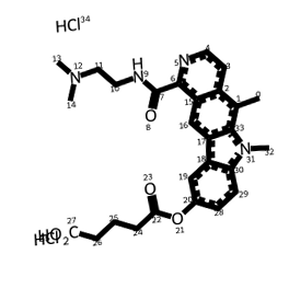 Cc1c2ccnc(C(=O)NCCN(C)C)c2cc2c3cc(OC(=O)CCCC(=O)O)ccc3n(C)c12.Cl.Cl